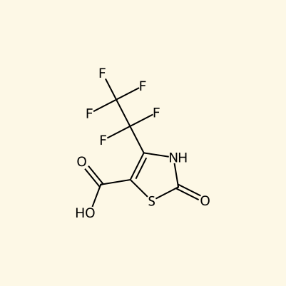 O=C(O)c1sc(=O)[nH]c1C(F)(F)C(F)(F)F